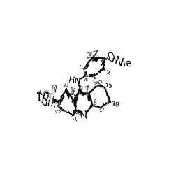 COc1ccc(Nc2c3c(nc4ccc(C(C)(C)C)cc24)CCCC3)cc1